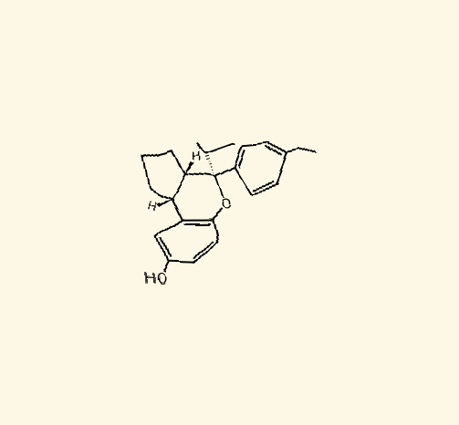 Cc1ccc([C@@]2(C(C)C)Oc3ccc(O)cc3[C@@H]3CCC[C@@H]32)cc1